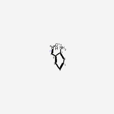 Nc1ccccc1/C=N\O